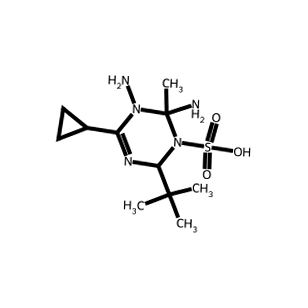 CC(C)(C)C1N=C(C2CC2)N(N)C(C)(N)N1S(=O)(=O)O